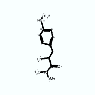 CON(C)C(=O)C(N)Cc1ccc(NC(=O)O)cc1